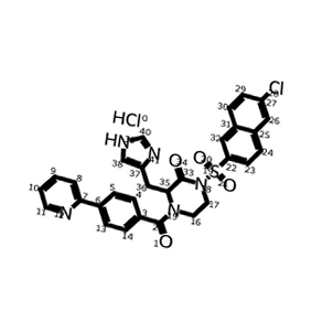 Cl.O=C(c1ccc(-c2ccccn2)cc1)N1CCN(S(=O)(=O)c2ccc3cc(Cl)ccc3c2)C(=O)C1Cc1c[nH]cn1